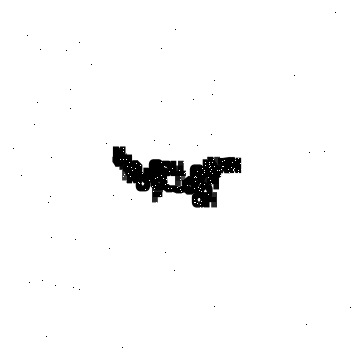 O=C(Nc1cc(F)c(CCCc2cc(C(=O)O)c(NC(=O)c3ccc(-n4ccnc4)nn3)cc2F)cc1C(=O)O)c1ccc(-n2ccnc2)nn1